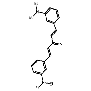 CCN(CC)c1cccc(C=CC(=O)C=Cc2cccc(N(CC)CC)c2)c1